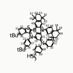 C[SiH](C)c1ccc(N(c2ccccc2)c2cc3c4c(c2)N(c2ccc(C(C)(C)C)cc2)c2c(sc5ccc(C(C)(C)C)cc25)B4c2cc4c(cc2N3c2ccc3c(c2)C(C)(C)CCC3(C)C)C(C)(C)CCC4(C)C)cc1